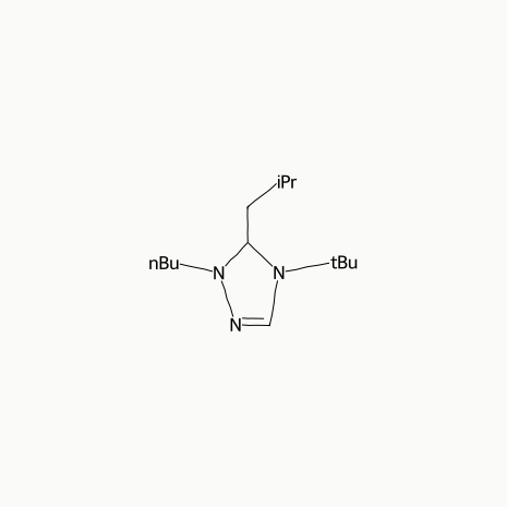 CCCCN1N=CN(C(C)(C)C)C1CC(C)C